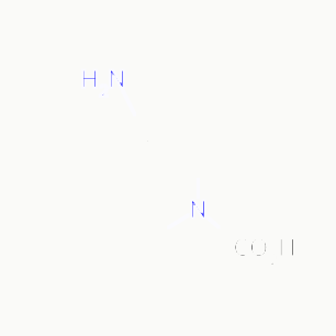 CC1CN(C(=O)O)CC1N